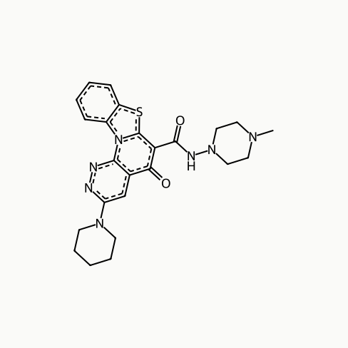 CN1CCN(NC(=O)c2c(=O)c3cc(N4CCCCC4)nnc3n3c2sc2ccccc23)CC1